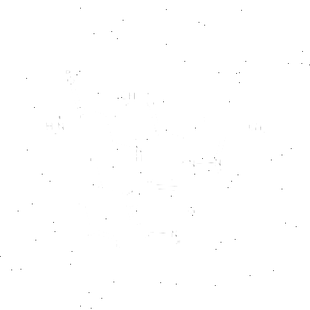 Cc1cc(C(=O)NC(Cc2ccccc2)C(O)C(N)=O)n(-c2cccnc2)n1